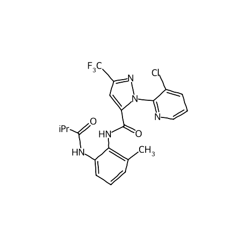 Cc1cccc(NC(=O)C(C)C)c1NC(=O)c1cc(C(F)(F)F)nn1-c1ncccc1Cl